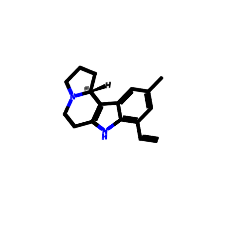 C=Cc1cc(C)cc2c3c([nH]c12)CCN1CCC[C@H]31